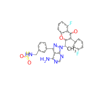 CC(c1oc2cccc(F)c2c(=O)c1-c1cccc(F)c1)n1nc(-c2cccc(CN[SH](=O)=O)c2)c2c(N)ncnc21